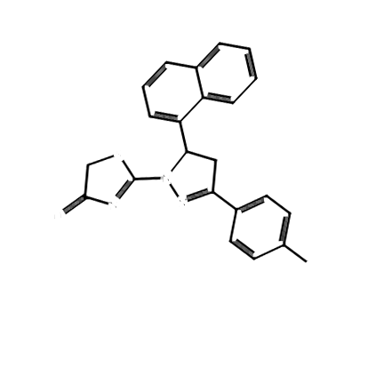 Cc1ccc(C2=NN(C3=NC(=O)CS3)C(c3cccc4ccccc34)C2)cc1